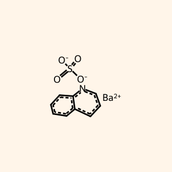 O=S(=O)([O-])[O-].[Ba+2].c1ccc2ncccc2c1